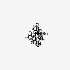 Cc1cc([C@@H](C)Nc2ccc(Cl)nc2S(=O)(=O)NC(C)(C)C)c2oc(-c3cnn(C)c3)c(-c3cnoc3)c(=O)c2c1